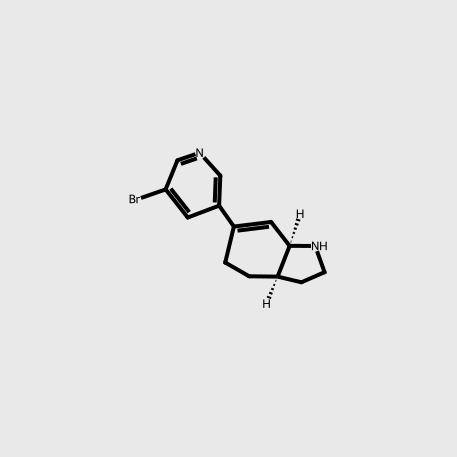 Brc1cncc(C2=C[C@H]3NCC[C@H]3CC2)c1